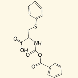 O=C(NC(CSc1ccccc1)C(=O)O)OC(=O)c1ccccc1